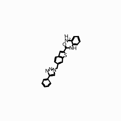 Nc1ccccc1NC(=O)c1cc2ccc(Cn3cc(-c4ccccc4)nn3)cc2s1